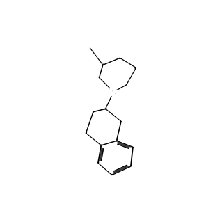 CC1CCCN(C2CCc3ccccc3C2)C1